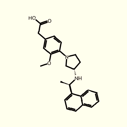 COc1cc(CC(=O)O)ccc1N1CC[C@H](N[C@H](C)c2cccc3ccccc23)C1